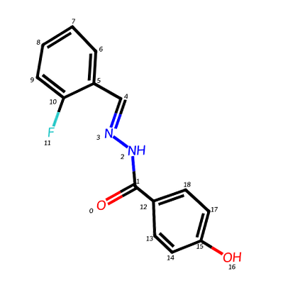 O=C(NN=Cc1ccccc1F)c1ccc(O)cc1